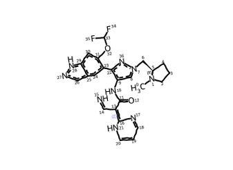 CN1CCC[C@@H]1Cn1cc(NC(=O)/C(C=N)=C2\N=CC=CN2)c(-c2cc3cn[nH]c3cc2OC(F)F)n1